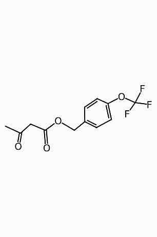 CC(=O)CC(=O)OCc1ccc(OC(F)(F)F)cc1